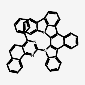 c1ccc(-c2nc(-n3c4ccccc4c4c5ccccc5c5c6cccc7c8ccccc8n(c76)c5c43)nc3c2ccc2ccccc23)cc1